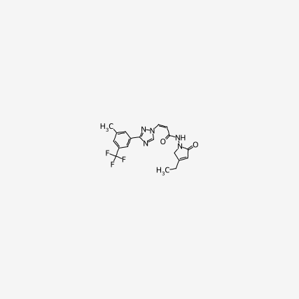 CCC1=CC(=O)N(NC(=O)/C=C\n2cnc(-c3cc(C)cc(C(F)(F)F)c3)n2)C1